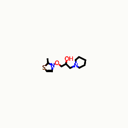 CC1SC=CN1OCC(O)CN1CCCCC1